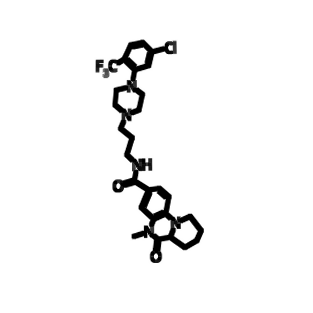 CN1C(=O)C2CCCCN2c2ccc(C(=O)NCCCN3CCN(c4cc(Cl)ccc4C(F)(F)F)CC3)cc21